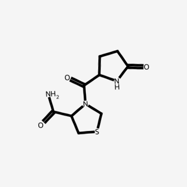 NC(=O)C1CSCN1C(=O)C1CCC(=O)N1